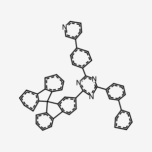 c1ccc(-c2cccc(-c3nc(-c4ccc(-c5cccnc5)cc4)nc(-c4ccc5c(c4)C4(c6ccccc6-c6ccccc64)c4ccccc4-5)n3)c2)cc1